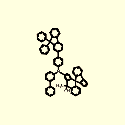 CC1(C)c2ccccc2C2(c3ccccc3-c3ccccc32)c2ccc(N(c3ccc(-c4ccc5c(c4)C(c4ccccc4)(c4ccccc4)c4ccccc4-5)cc3)c3cccc(-c4ccccc4)c3)cc21